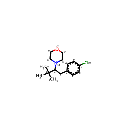 CC(C)(C)C(Cc1ccc(Cl)cc1)N1CCOCC1